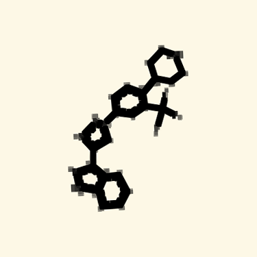 FC(F)(F)c1cc(-n2cc(-c3n[nH]c4ccccc34)nn2)ccc1C1CCNCC1